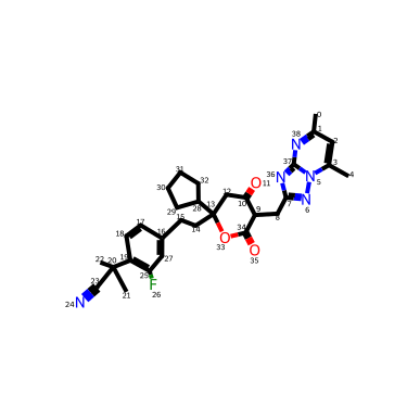 Cc1cc(C)n2nc(CC3C(=O)CC(CCc4ccc(C(C)(C)C#N)c(F)c4)(C4CCCC4)OC3=O)nc2n1